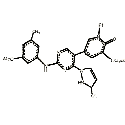 CCOC(=O)c1cc(-c2cnc(Nc3cc(C)cc(OC)c3)nc2N2C=CC(C(F)(F)F)N2)cn(CC)c1=O